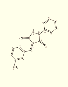 Cc1cccc(/C=C2\C(=O)NN(c3ccccc3)C2=O)c1